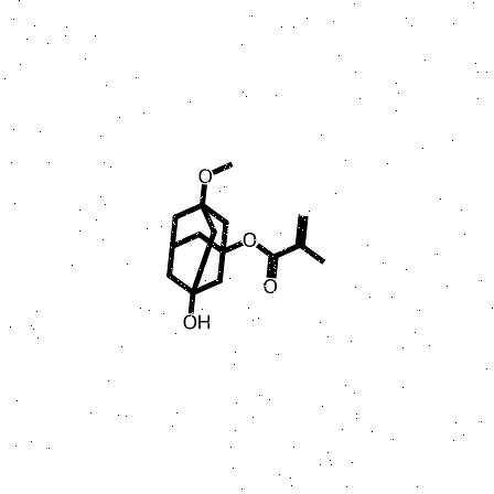 C=C(C)C(=O)OC12CC3CC(O)(CC(OC)(C3)C1)C2